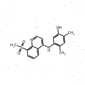 Cc1cc(C)c(Nc2ccnc3c(S(C)(=O)=O)cccc23)cc1O